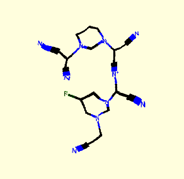 N#CCN1CC(F)CN(C(C#N)[N+]#CC(C#N)N2CCCN(C(C#N)C#N)C2)C1